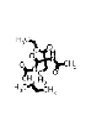 CC=CC.CCOC(=O)C(CC)(NC(C)=O)C(=O)OC(C)=O